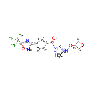 C/C(CNC(=O)c1ccc(-c2noc(C(F)(F)F)n2)cc1)=N/OC1COC1